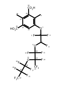 Cc1c(OC(F)(F)C(F)OC(F)(F)C(F)(OC(F)(F)C(F)(F)C(F)(F)F)C(F)(F)F)cc(C(=O)O)c(C)c1C(=O)O